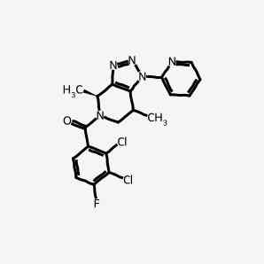 CC1CN(C(=O)c2ccc(F)c(Cl)c2Cl)[C@@H](C)c2nnn(-c3ccccn3)c21